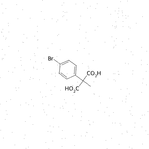 CC(C(=O)O)(C(=O)O)c1ccc(Br)cc1